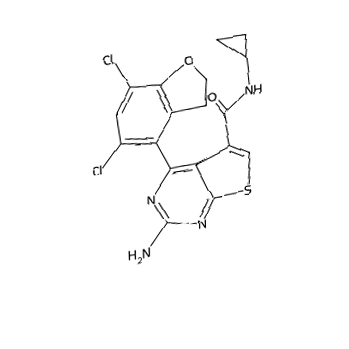 Nc1nc(-c2c(Cl)cc(Cl)c3c2CCO3)c2c(C(=O)NC3CC3)csc2n1